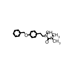 CN(C)C(=O)N(O)CCc1ccc(OCc2ccccc2)cc1